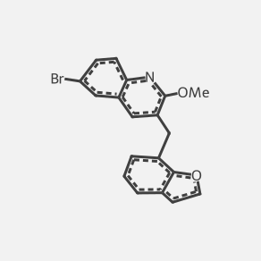 COc1nc2ccc(Br)cc2cc1Cc1cccc2ccoc12